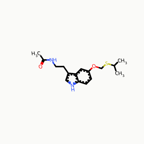 CC(=O)NCCc1c[nH]c2ccc(OCSC(C)C)cc12